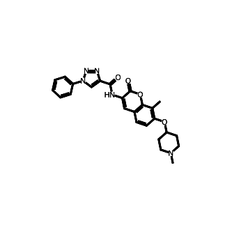 Cc1c(OC2CCN(C)CC2)ccc2cc(NC(=O)c3cn(-c4ccccc4)nn3)c(=O)oc12